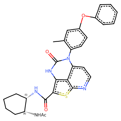 CC(=O)N[C@@H]1CCCC[C@@H]1NC(=O)c1sc2nccc3c2c1NC(=O)N3c1ccc(Oc2ccccc2)cc1C